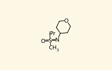 CC(C)S(C)(=O)=NC1CCOCC1